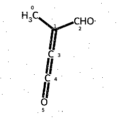 CC([C]=O)=C=C=O